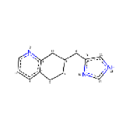 c1cnc2c(c1)CCC(Cc1c[nH]cn1)C2